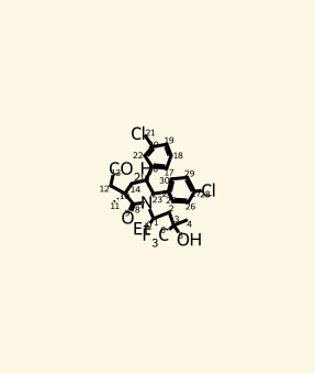 CCC(CC(C)(O)C(F)(F)F)N1C(=O)[C@@](C)(CC(=O)O)CC(c2cccc(Cl)c2)C1c1ccc(Cl)cc1